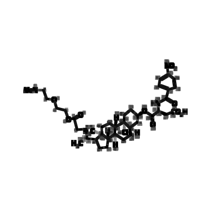 CNCCOCCOC(=O)CC[C@@H](C)C1CC[C@H]2[C@@H]3CC[C@@H]4C[C@H](OC(=O)[C@H](CC(=O)O)NC(=O)c5ccc([N+](=O)[O-])cc5)CC[C@]4(C)[C@H]3CC[C@]12C